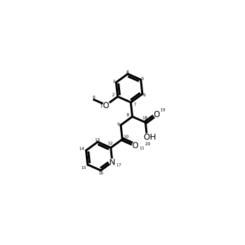 COc1ccccc1C(CC(=O)c1ccccn1)C(=O)O